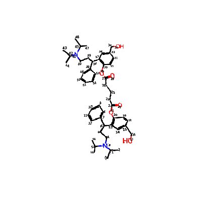 CC(C)N(CCC(c1ccccc1)c1cc(CO)ccc1OC(=O)CCCC(=O)Oc1ccc(CO)cc1C(CCN(C(C)C)C(C)C)c1ccccc1)C(C)C